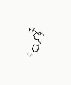 C=C(C)/C=C\C=N/C1C=CC(C)CC1